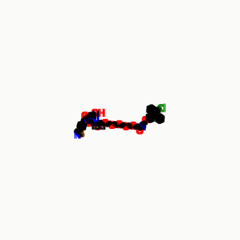 Cc1ncsc1-c1ccc(CNC(=O)[C@@H]2C[C@@H](O)CN2C(=O)C(NC(=O)CCOCCOCCOCCOCCOCCC(=O)N(C)CCOc2ccc(/C(=C(/CCCl)c3ccccc3)c3ccccc3)cc2)C(C)(C)C)cc1